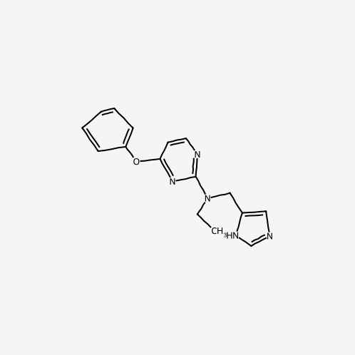 CCN(Cc1cnc[nH]1)c1nccc(Oc2ccccc2)n1